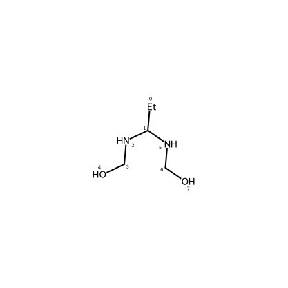 CCC(NCO)NCO